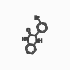 O=C1Nc2ccccc2NC1c1cccc(Br)c1